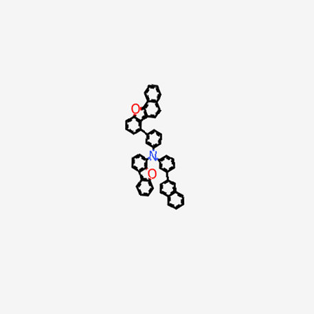 c1cc(-c2ccc3ccccc3c2)cc(N(c2cccc(-c3cccc4oc5c6ccccc6ccc5c34)c2)c2cccc3c2oc2ccccc23)c1